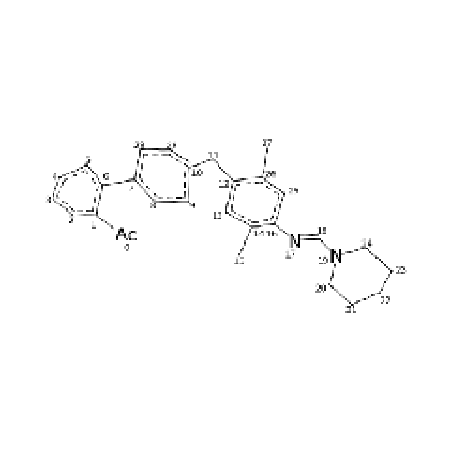 CC(=O)c1ccccc1-c1ccc(Cc2cc(C)c(N=CN3CCCCC3)cc2C)cc1